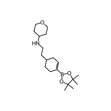 CC1(C)OB(C2=CCC(CCNC3CCOCC3)CC2)OC1(C)C